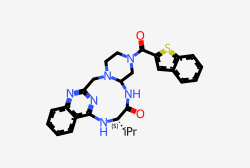 CC(C)[C@@H]1Nc2nc(nc3ccccc23)CN2CCN(C(=O)c3cc4ccccc4s3)CC2NC1=O